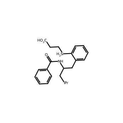 CC(C)CC(Cc1ccccc1[SiH2]CCC(=O)O)NC(=O)c1ccccc1